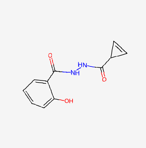 O=C(NNC(=O)C1C=C1)c1ccccc1O